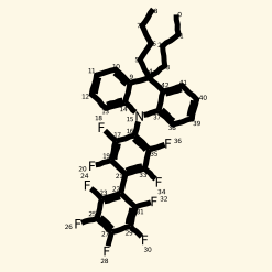 CCCCC1(CCCC)c2ccccc2N(c2c(F)c(F)c(-c3c(F)c(F)c(F)c(F)c3F)c(F)c2F)c2ccccc21